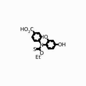 CCOC(=S)N(c1ccc(C(=O)O)cc1)c1ccc(O)cc1O